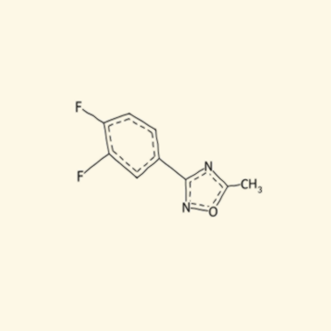 Cc1nc(-c2ccc(F)c(F)c2)no1